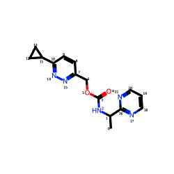 CC(NC(=O)OCc1ccc(C2CC2)nn1)c1ncccn1